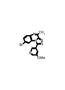 COc1cncc(-c2nnc3c(C)nc4ccc(Br)cc4n23)c1